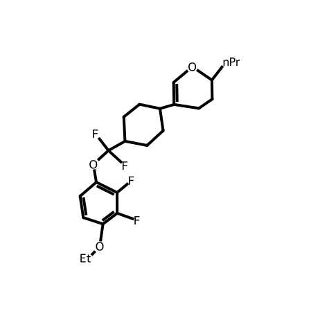 CCCC1CCC(C2CCC(C(F)(F)Oc3ccc(OCC)c(F)c3F)CC2)=CO1